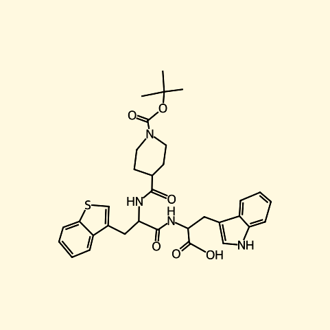 CC(C)(C)OC(=O)N1CCC(C(=O)NC(Cc2csc3ccccc23)C(=O)NC(Cc2c[nH]c3ccccc23)C(=O)O)CC1